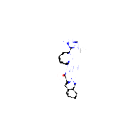 CC(C)n1cnnc1-c1cccc(NC(=O)c2cc3ccccc3cn2)n1